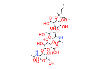 CCCCC(C)(CCCC)OC1C(C(=O)O)CC(OC2C(O)C(CO)OC(OC3C(C(=O)O)OC(OC4C(O)C(CO)OC(O)C4NC(C)=O)C(O)C3O)C2NC(C)=O)C(O)C1O